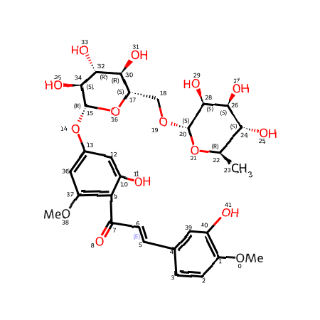 COc1ccc(/C=C/C(=O)c2c(O)cc(O[C@H]3O[C@@H](CO[C@H]4O[C@H](C)[C@@H](O)[C@H](O)[C@@H]4O)[C@H](O)[C@@H](O)[C@@H]3O)cc2OC)cc1O